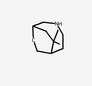 CC1(C)CC2CCC1CCNC2